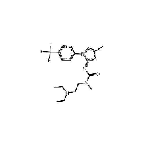 CCN(CC)CCN(C)C(=O)N=c1sc(C)cn1-c1ccc(C(F)(F)F)cc1